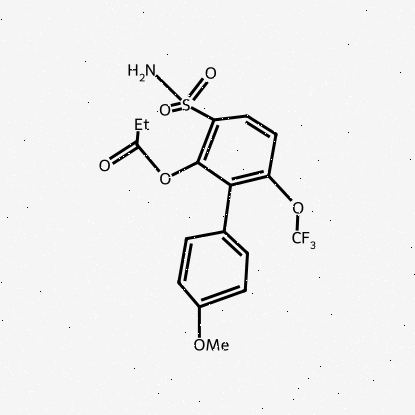 CCC(=O)Oc1c(S(N)(=O)=O)ccc(OC(F)(F)F)c1-c1ccc(OC)cc1